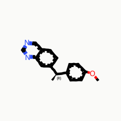 COc1ccc([C@@H](C)c2ccc3cncnc3c2)cc1